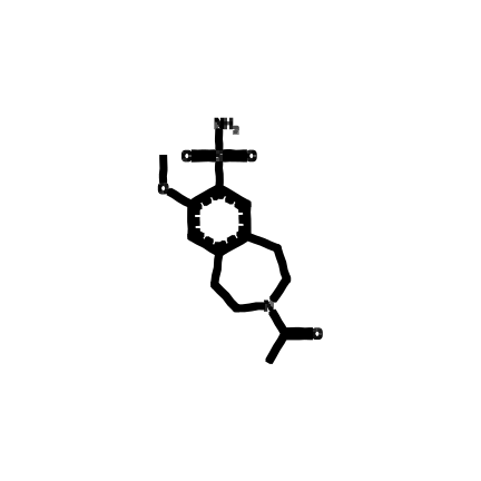 COc1cc2c(cc1S(N)(=O)=O)CCN(C(C)=O)CC2